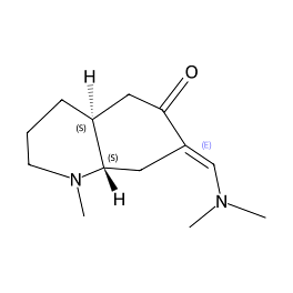 CN(C)/C=C1\C[C@H]2[C@@H](CCCN2C)CC1=O